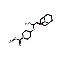 CC(/C=C/B1C2CCCC1CCC2)OC1CCN(C(=O)OC(C)(C)C)CC1